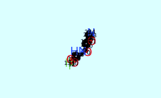 O=C(NCc1ccc2c(c1)OC(F)(F)O2)c1ccc2c(c1)oc1cnccc12